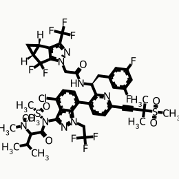 CC(C)C(C(=O)N(c1nn(CC(F)(F)F)c2c(-c3ccc(C#CC(C)(C)S(C)(=O)=O)nc3[C@H](Cc3cc(F)cc(F)c3)NC(=O)Cn3nc(C(F)(F)F)c4c3C(F)(F)[C@@H]3C[C@H]43)ccc(Cl)c12)S(C)(=O)=O)N(C)C